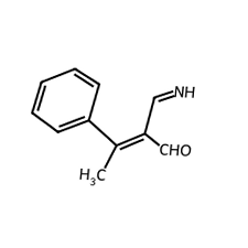 CC(=C(C=N)C=O)c1ccccc1